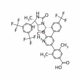 COc1ncc(-c2c(C)cc(C(=O)O)cc2C)cc1-c1ccc(C(F)(F)F)cc1[C@@H]1CC[C@@H]2N1C(=O)N[C@]2(C)c1cc(C(F)(F)F)cc(C(F)(F)F)c1